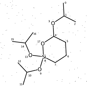 CC(C)OC1CCC[Si](OC(C)C)(OC(C)C)O1